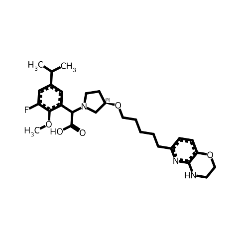 COc1c(F)cc(C(C)C)cc1C(C(=O)O)N1CC[C@@H](OCCCCCc2ccc3c(n2)NCCO3)C1